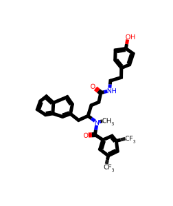 CN(C(=O)c1cc(C(F)(F)F)cc(C(F)(F)F)c1)C(CCC(=O)NCCc1ccc(O)cc1)Cc1ccc2ccccc2c1